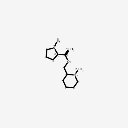 C=C(OCC1CCCCN1C)[C@H]1CCCN1C(C)C